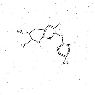 O=C(O)C1Cc2cc(Cl)c(Oc3ccc([N+](=O)[O-])cc3)cc2OC1C(F)(F)F